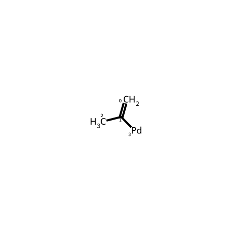 C=[C](C)[Pd]